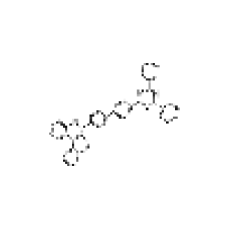 c1ccc(-c2nc(-c3ccccc3)nc(-c3ccc(-c4ccc(-c5nc6ccccc6c6c5ccc5ccccc56)cc4)cc3)n2)cc1